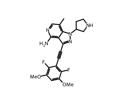 COc1cc(OC)c(F)c(C#Cc2nn(C3CCNC3)c3c(C)cnc(N)c23)c1F